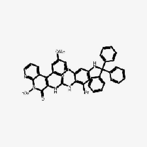 CCCCn1c(=O)c(NC(=O)Nc2c(C(C)C)cc(NC(c3ccccc3)(c3ccccc3)c3ccccc3)cc2C(C)C)c(-c2cccc(OC)c2)c2cccnc21